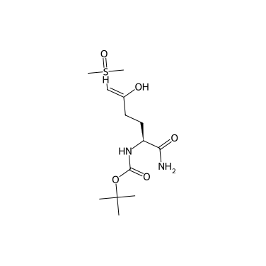 CC(C)(C)OC(=O)N[C@@H](CC/C(O)=C/[SH](C)(C)=O)C(N)=O